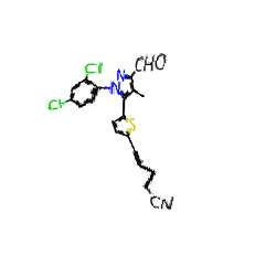 Cc1c(C=O)nn(-c2ccc(Cl)cc2Cl)c1-c1ccc(C#CCCC#N)s1